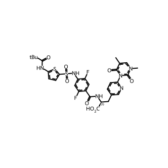 Cc1cn(C)c(=O)n(-c2ccc(C[C@H](NC(=O)c3cc(F)c(NS(=O)(=O)c4ccc(NC(=O)C(C)(C)C)s4)cc3F)C(=O)O)cn2)c1=O